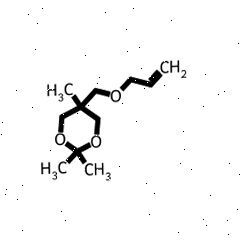 C=CCOCC1(C)COC(C)(C)OC1